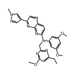 CCc1cc(OC)nc(CN(c2cc(OC)cc(OC)c2)c2ccc3ncc(-c4cnn(C)c4)nc3n2)n1